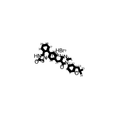 Br.CCCCc1nc(C)n(-c2ccc3c(c2)CC(C)(C)O3)c(=O)c1Cc1ccc(-c2ccccc2-c2nsc(=O)[nH]2)cc1